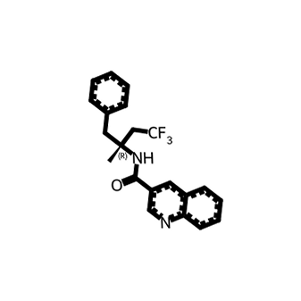 C[C@@](Cc1ccccc1)(CC(F)(F)F)NC(=O)c1cnc2ccccc2c1